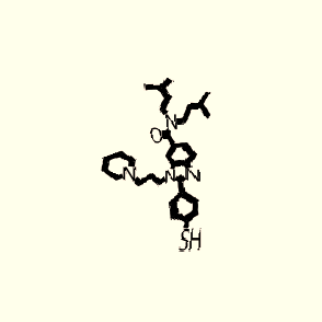 CC(C)CCN(CCC(C)C)C(=O)c1ccc2nc(-c3ccc(S)cc3)n(CCCN3CCCCC3)c2c1